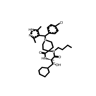 CCCCN1C(=O)[C@@H]([C@H](O)C2CCCCC2)NC(=O)C12CCN(C(c1ccc(Cl)cc1)c1c(C)n[nH]c1C)CC2